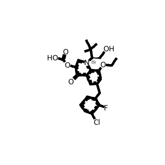 CCOc1cc(Cc2cccc(Cl)c2F)cc2c(=O)c(OC(=O)O)cn([C@H](CO)C(C)(C)C)c12